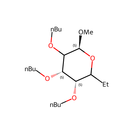 CCCCOC1[C@@H](OC)OC(CC)[C@H](OCCCC)[C@@H]1OCCCC